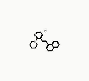 C(=C\c1cccc2ccccc12)/c1cccnc1N1CCCCC1.Cl